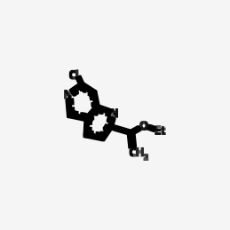 C=C(OCC)c1ccc2cnc(Cl)cc2n1